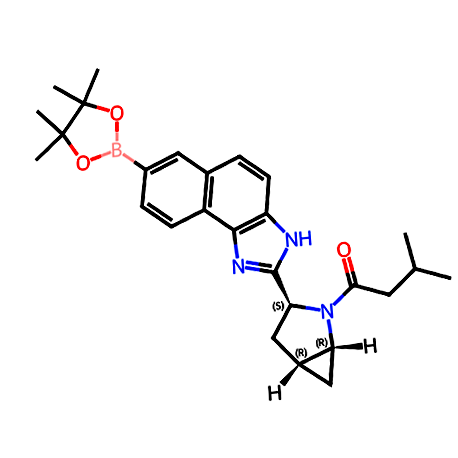 CC(C)CC(=O)N1[C@@H]2C[C@@H]2C[C@H]1c1nc2c(ccc3cc(B4OC(C)(C)C(C)(C)O4)ccc32)[nH]1